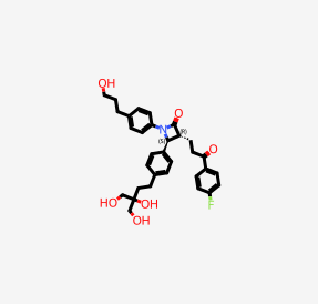 O=C(CC[C@H]1C(=O)N(c2ccc(CCCO)cc2)[C@@H]1c1ccc(CCC(O)(CO)CO)cc1)c1ccc(F)cc1